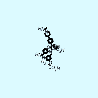 CC(=N)N1CCC(c2ccc(NC(=O)CN(Cc3cccc(OCC(=O)O)c3)c3cccc(C(=N)N)c3)cc2)CC1.O.O.O=S(=O)(O)O